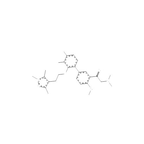 CNc1ccc(-c2ccc(F)c(F)c2OCCc2c(C)nn(C)c2C)cc1C(=N)CN(C)C